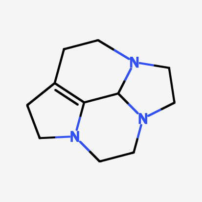 C1CN2CCN3CCN4CCC1=C2C43